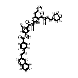 CC(C)CCc1sc(NC(=O)c2cc(NC(=O)c3ccc(C=Cc4cnc5ccccc5c4)cc3)cn2C)nc1C(=O)NCCN1CCOCC1